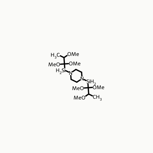 COC(C)C(OC)(OC)[SiH2]N1CCN([SiH2]C(OC)(OC)C(C)OC)CC1